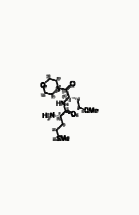 COCC[C@H](NC(=O)[C@@H](N)CCSC)C(=O)N1CCOCC1